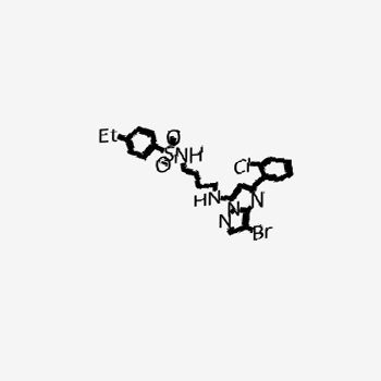 CCc1ccc(S(=O)(=O)NCCCCNc2cc(-c3ccccc3Cl)nc3c(Br)cnn23)cc1